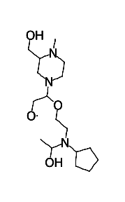 CC(O)N(CCOC(C[O])N1CCN(C)C(CO)C1)C1CCCC1